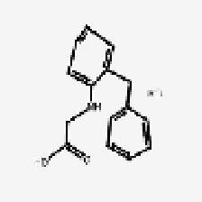 Cl.O=C(O)CNc1ccccc1Cc1ccccc1